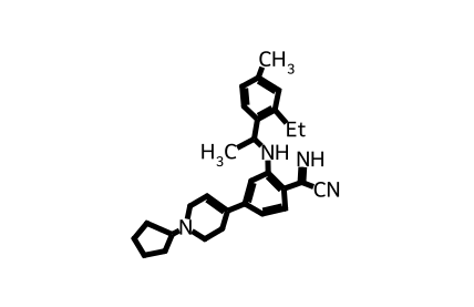 CCc1cc(C)ccc1C(C)Nc1cc(C2=CCN(C3CCCC3)CC2)ccc1C(=N)C#N